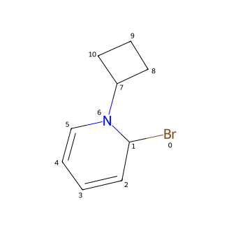 BrC1C=CC=CN1C1CCC1